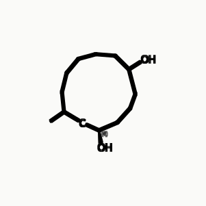 CC1CCCCCC(O)CCC[C@@H](O)C1